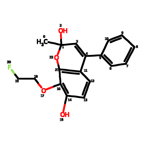 CC1(O)C=C(c2ccccc2)c2ccc(O)c(OCCF)c2O1